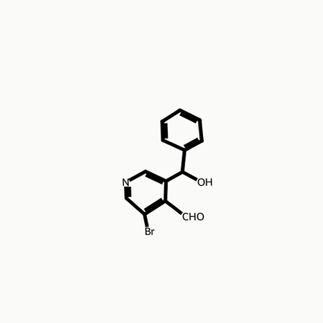 O=Cc1c(Br)cncc1C(O)c1ccccc1